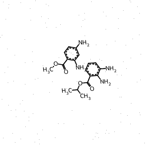 CC(C)OC(=O)c1cccc(N)c1N.COC(=O)c1ccc(N)cc1N